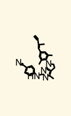 C#C/C(C)=C/c1cc(C)c(N2CCc3c(C)nc(Nc4ccc(C#N)cc4)nc32)c(C)c1